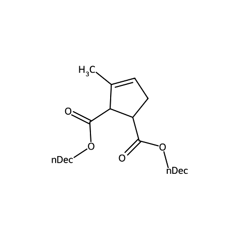 CCCCCCCCCCOC(=O)C1CC=C(C)C1C(=O)OCCCCCCCCCC